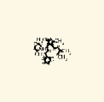 CC1COCCN1.CCC(C)CCc1c(C)sc(C)c1CCCc1ccccc1